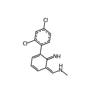 CN/C=C1/C=CC=C(c2ccc(Cl)cc2Cl)C1=N